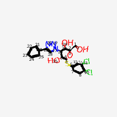 OC[C@H]1O[C@H](Sc2ccc(Cl)c(Cl)c2)[C@H](O)[C@@H](n2cc(-c3ccccc3)nn2)[C@H]1O